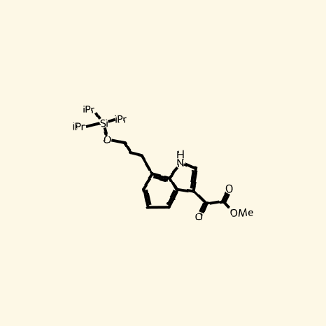 COC(=O)C(=O)c1c[nH]c2c(CCCO[Si](C(C)C)(C(C)C)C(C)C)cccc12